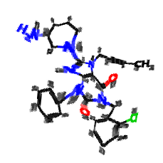 CC#CCn1c(N2CCCC(N)C2)nc2c1c(=O)n(Cc1ccccc1Cl)c(=O)n2-c1ccccc1